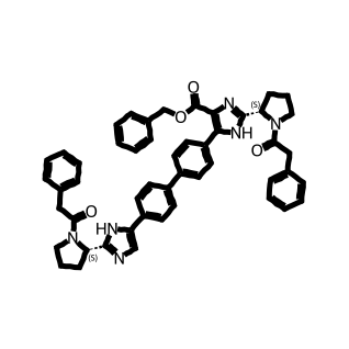 O=C(OCc1ccccc1)c1nc([C@@H]2CCCN2C(=O)Cc2ccccc2)[nH]c1-c1ccc(-c2ccc(-c3cnc([C@@H]4CCCN4C(=O)Cc4ccccc4)[nH]3)cc2)cc1